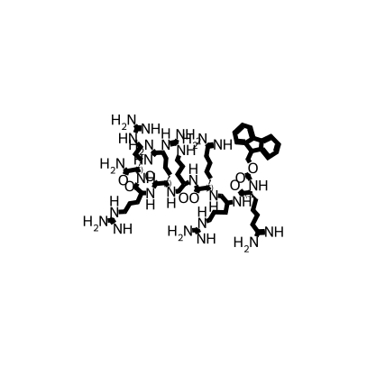 N=C(N)CCCC[C@H](NCC(CCCNC(=N)N)NC(=O)[C@H](CCCCC(=N)N)NC(=O)OCC1c2ccccc2-c2ccccc21)C(=O)NC(CCCNC(=N)N)C(=O)N[C@@H](CCCCC(=N)N)C(=O)NC(CCCNC(=N)N)C(=O)N[C@@H](CCCNC(=N)N)C(N)=O